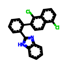 Clc1cccc2c(Cl)c(-c3ccccc3-c3nc4ccccc4[nH]3)ccc12